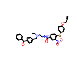 C#CCOc1ccc(Sc2ccc(C(=O)NCCN(CC)Cc3ccc(C(=O)c4ccccc4)cc3)cc2[N+](=O)[O-])cc1